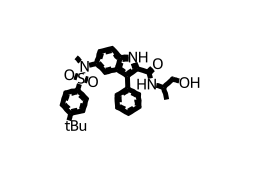 CC(CO)NC(=O)c1[nH]c2ccc(N(C)S(=O)(=O)c3ccc(C(C)(C)C)cc3)cc2c1-c1ccccc1